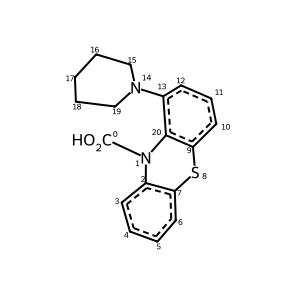 O=C(O)N1c2ccccc2Sc2cccc(N3CCCCC3)c21